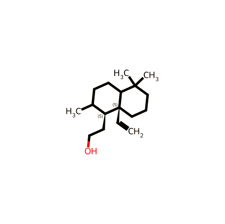 C=C[C@]12CCCC(C)(C)C1CCC(C)[C@@H]2CCO